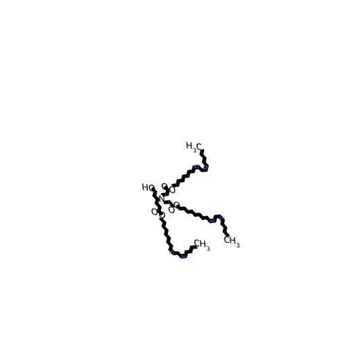 CCCCC/C=C\C/C=C\CCCCCCCCOC(=O)CCC(CCO)N(CCC(=O)OCCCCCCCC/C=C\C/C=C\CCCCC)CCC(=O)OCCCCCCCC/C=C\C/C=C\CCCCC